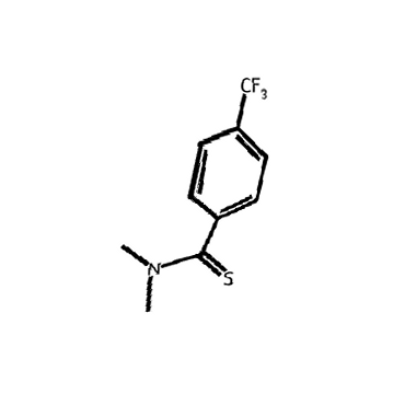 CN(C)C(=S)c1ccc(C(F)(F)F)cc1